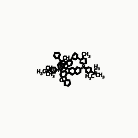 Cc1ccc(N(c2ccc(C(C)(C)C)cc2)c2ccc3cc4c(cc3c2)C2(c3ccccc3C3C=CC=CC32)c2c(N(c3ccc(C(C)(C)C)cc3)c3ccc(C)c(-c5ccccc5)c3)cc3oc5ccccc5c3c2-4)cc1-c1ccccc1